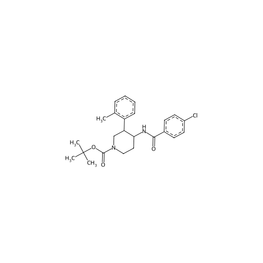 Cc1ccccc1C1CN(C(=O)OC(C)(C)C)CCC1NC(=O)c1ccc(Cl)cc1